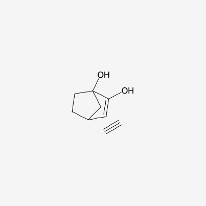 C#C.OC1=CC2CCC1(O)C2